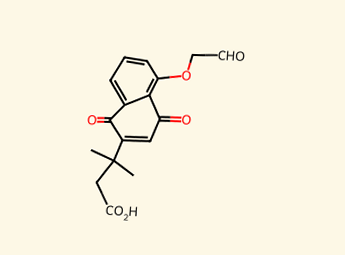 CC(C)(CC(=O)O)C1=CC(=O)c2c(OCC=O)cccc2C1=O